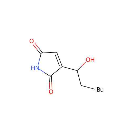 CCC(C)CC(O)C1=CC(=O)NC1=O